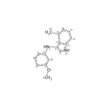 COc1cccc(Nc2c[nH]c3cccc(C)c23)c1